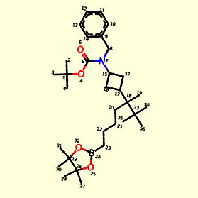 CC(C)(C)OC(=O)N(Cc1ccccc1)C1CC(C(C)(CCCCB2OC(C)(C)C(C)(C)O2)C(C)(C)C)C1